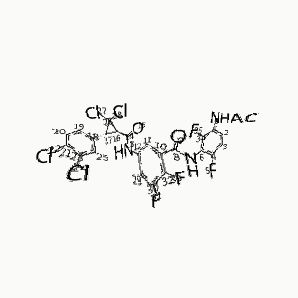 CC(=O)Nc1ccc(F)c(NC(=O)c2cc(NC(=O)[C@H]3[C@H](c4ccc(Cl)c(Cl)c4)C3(Cl)Cl)cc(F)c2F)c1F